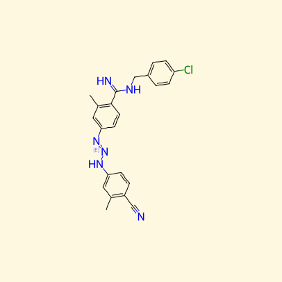 Cc1cc(N/N=N/c2ccc(C(=N)NCc3ccc(Cl)cc3)c(C)c2)ccc1C#N